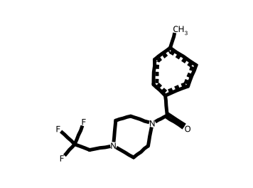 Cc1ccc(C(=O)N2CCN(CC(F)(F)F)CC2)cc1